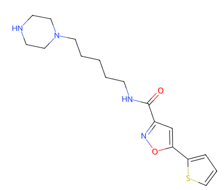 O=C(NCCCCCN1CCNCC1)c1cc(-c2cccs2)on1